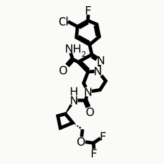 NC(=O)c1c(-c2ccc(F)c(Cl)c2)nn2c1CN(C(=O)N[C@@H]1CC[C@H]1COC(F)F)CC2